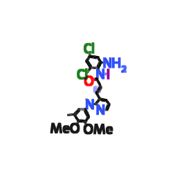 COc1cc(N(C)c2ncccc2/C=C/C(=O)N(I)c2c(N)cc(Cl)cc2Cl)cc(C)c1OC